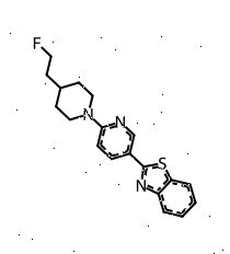 FCCC1CCN(c2ccc(-c3nc4ccccc4s3)cn2)CC1